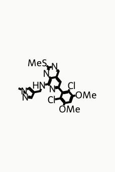 COc1cc(OC)c(Cl)c(-c2cc3cnc(SC)nc3c(NCc3cnn(C)c3)n2)c1Cl